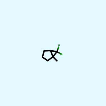 CC12CCCC1C2(F)F